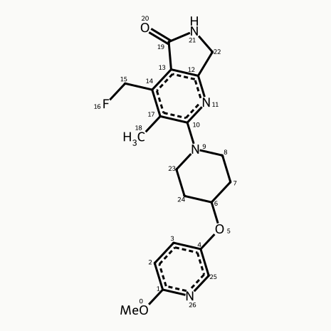 COc1ccc(OC2CCN(c3nc4c(c(CF)c3C)C(=O)NC4)CC2)cn1